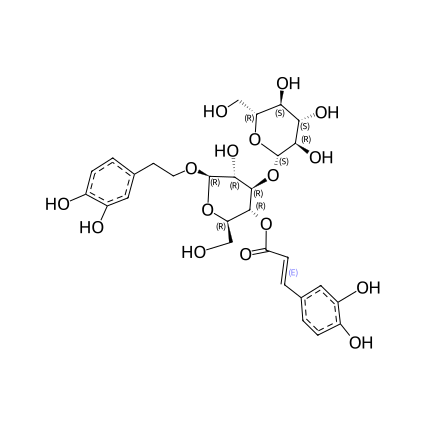 O=C(/C=C/c1ccc(O)c(O)c1)O[C@H]1[C@H](O[C@@H]2O[C@H](CO)[C@@H](O)[C@H](O)[C@H]2O)[C@@H](O)[C@H](OCCc2ccc(O)c(O)c2)O[C@@H]1CO